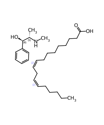 CCCCC/C=C\C/C=C\CCCCCCCC(=O)O.CN[C@@H](C)[C@H](O)c1ccccc1